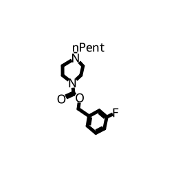 [CH2]CCCCN1CCN(C(=O)OCc2cccc(F)c2)CC1